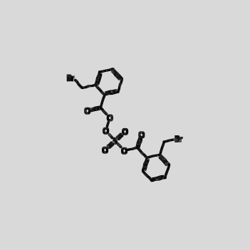 O=C(OOS(=O)(=O)OC(=O)c1ccccc1CBr)c1ccccc1CBr